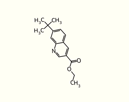 CCOC(=O)c1cnc2cc(C(C)(C)C)ccc2c1